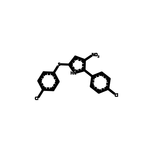 O=[N+]([O-])c1cc(Sc2ccc(Cl)cc2)[nH]c1-c1ccc(Cl)cc1